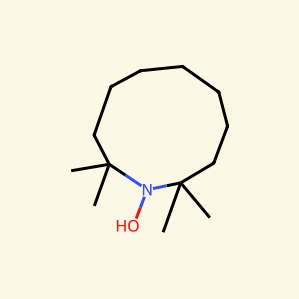 CC1(C)CCCCCCCC(C)(C)N1O